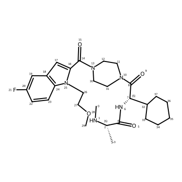 CN[C@@H](C)C(=O)N[C@H](C(=O)N1CCN(C(=O)c2cc3cc(F)ccc3n2CCOC)CC1)C1CCCCC1